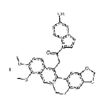 COc1ccc2c(CC(=O)n3ccc4cc(O)ccc43)c3[n+](cc2c1OC)CCc1cc2c(cc1-3)OCO2.[I-]